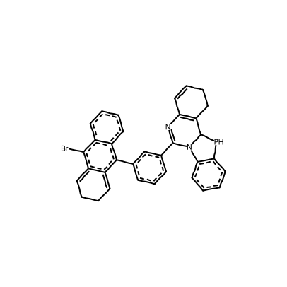 Brc1c2c(c(-c3cccc(C4=NC5=C(CCC=C5)C5Pc6ccccc6N45)c3)c3ccccc13)=CCCC=2